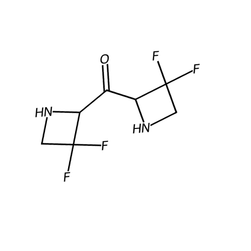 O=C(C1NCC1(F)F)C1NCC1(F)F